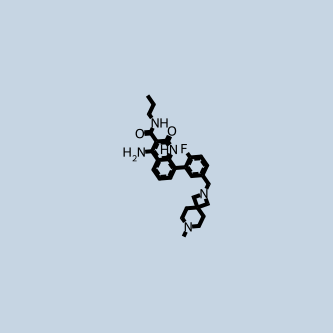 CCCNC(=O)c1c(N)c2cccc(-c3cc(CN4CC5(CCN(C)CC5)C4)ccc3F)c2[nH]c1=O